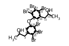 CC(O)Cc1cc(Oc2cc(CC(C)O)c(Br)c(Br)c2Br)c(Br)c(Br)c1Br